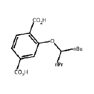 [CH2]CCCC(CC[CH2])Oc1cc(C(=O)O)ccc1C(=O)O